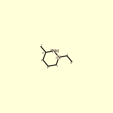 CCN1CCCC(C)N1